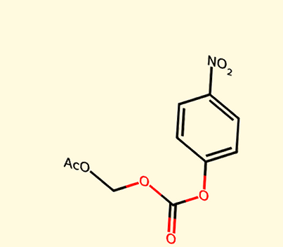 CC(=O)OCOC(=O)Oc1ccc([N+](=O)[O-])cc1